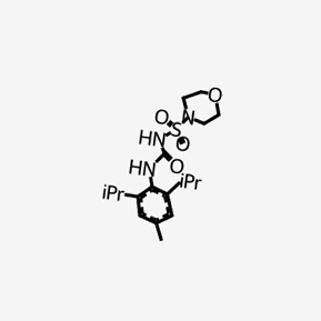 Cc1cc(C(C)C)c(NC(=O)NS(=O)(=O)N2CCOCC2)c(C(C)C)c1